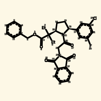 CCC(CC)(C(=O)OCc1ccccc1)[C@H]1CC[C@@H](c2cc(F)cc(Cl)c2)N1C(=O)CN1C(=O)c2ccccc2C1=O